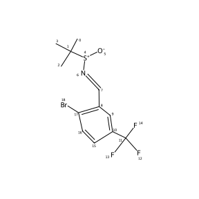 CC(C)(C)[S+]([O-])/N=C/c1cc(C(F)(F)F)ccc1Br